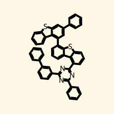 c1ccc(-c2cccc(-c3nc(-c4ccccc4)nc(-c4cccc5sc6c(-c7cc(-c8ccccc8)cc8sc9ccccc9c78)cccc6c45)n3)c2)cc1